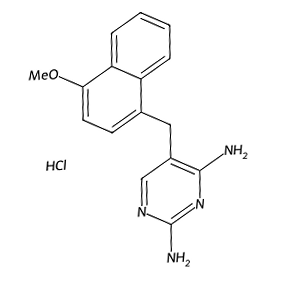 COc1ccc(Cc2cnc(N)nc2N)c2ccccc12.Cl